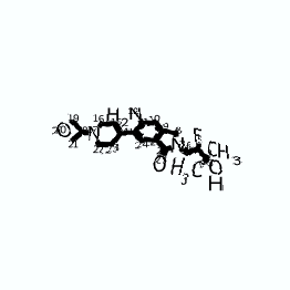 CC(C)(O)C(F)CN1Cc2cc(N)c(C3CCN(C4COC4)CC3)cc2C1=O